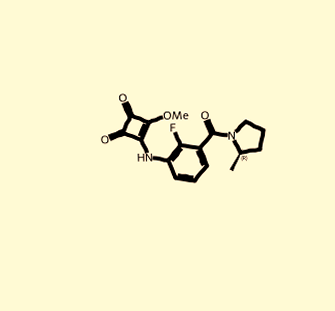 COc1c(Nc2cccc(C(=O)N3CCC[C@H]3C)c2F)c(=O)c1=O